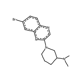 CN(C)C1CCCN(c2cnc3ccc(Br)cc3n2)C1